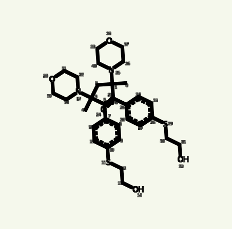 CC(CC(C)(C(=O)c1ccc(SCCO)cc1)N1CCOCC1)(C(=O)c1ccc(SCCO)cc1)N1CCOCC1